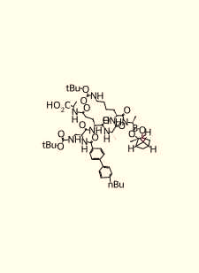 CCCCc1ccc(-c2ccc(C(=O)N[C@@H](CNC(=O)OC(C)(C)C)C(=O)N[C@@H](CCC(=O)N[C@H](C)C(=O)O)C(=O)N[C@@H](C)C(=O)N[C@@H](CCCCNC(=O)OC(C)(C)C)C(=O)N[C@@H](C)B3O[C@@H]4C[C@@H]5C[C@@H](C5(C)C)[C@]4(C)O3)cc2)cc1